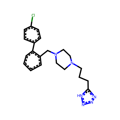 Clc1ccc(-c2ccccc2CN2CCN(CCCc3nnn[nH]3)CC2)cc1